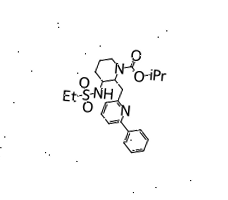 CCS(=O)(=O)NC1CCCN(C(=O)OC(C)C)C1Cc1cccc(-c2ccccc2)n1